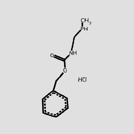 CPCNC(=O)OCc1ccccc1.Cl